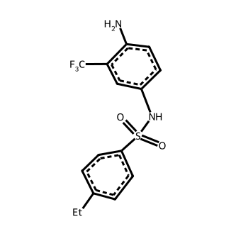 CCc1ccc(S(=O)(=O)Nc2ccc(N)c(C(F)(F)F)c2)cc1